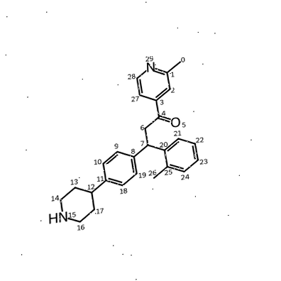 Cc1cc(C(=O)CC(c2ccc(C3CCNCC3)cc2)c2ccccc2C)ccn1